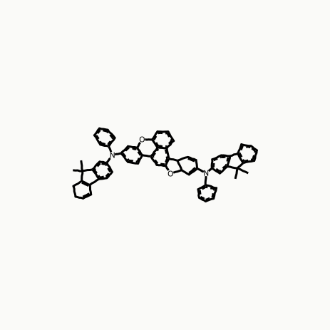 CC1(C)C2=C(C=CCC2)c2ccc(N(c3ccccc3)c3ccc4c(c3)Oc3cccc5c6c(cc-4c35)OC3C=C(N(c4ccccc4)c4ccc5c(c4)C(C)(C)c4ccccc4-5)C=CC63)cc21